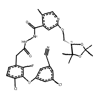 Cc1cnc(OC[C@@H]2OC(C)(C)OC2(C)C)cc1C(=O)NNC(=O)Cc1ccc(Cl)c(Oc2cc(Cl)cc(C#N)c2)c1F